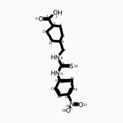 O=C(O)C1CCC(CNC(=S)Nc2ccc([N+](=O)[O-])cc2)CC1